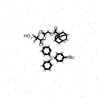 CC(C)(C)c1ccc([S+](c2ccccc2)c2ccccc2)cc1.O=C(COC(=O)C12CC3CC(CC(C3)C1)C2)OC(C(F)(F)F)C(F)(F)S(=O)(=O)O